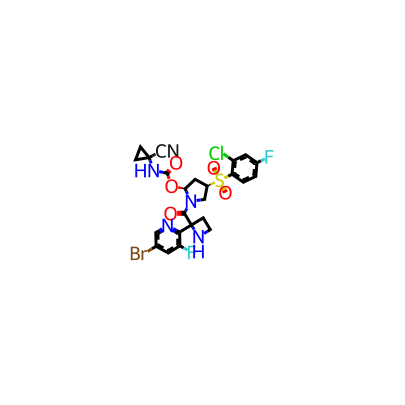 N#CC1(NC(=O)O[C@H]2C[C@@H](S(=O)(=O)c3ccc(F)cc3Cl)CN2C(=O)C2(c3ncc(Br)cc3F)CCN2)CC1